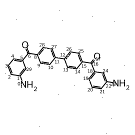 Nc1cccc(C(=O)c2ccc(-c3ccc(C(=O)c4cccc(N)c4)cc3)cc2)c1